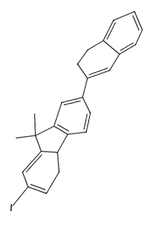 CC1(C)C2=CC(I)=CCC2c2ccc(C3=Cc4ccccc4CC3)cc21